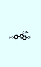 COc1cc(-c2ccc(O)cc2)nc2ccc(O)cc12